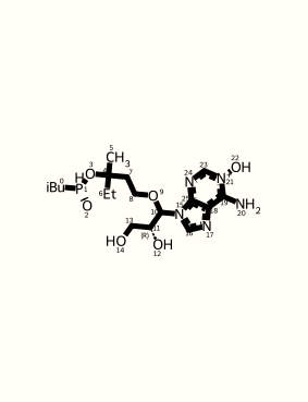 CCC(C)[PH](=O)OC(C)(CC)CCOC([C@H](O)CO)n1cnc2c(N)[n+](O)cnc21